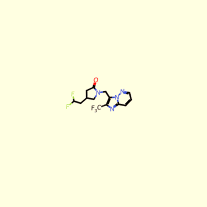 O=C1CC(CC(F)F)CN1Cc1c(C(F)(F)F)nc2cccnn12